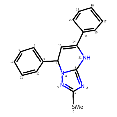 CSc1nc2n(n1)C(c1ccccc1)C=C(c1ccccc1)N2